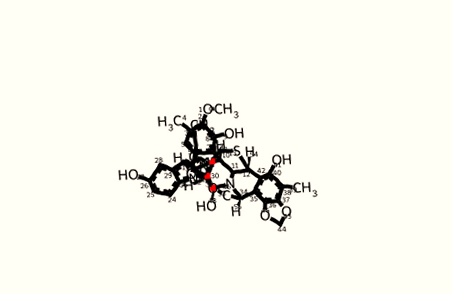 COc1c(C)cc2c(c1O)[C@@H]1C3[C@@H]4SC[C@]5(NC(C)Cc6c5[nH]c5ccc(O)cc65)C(=O)OC[C@@H](c5c6c(c(C)c(O)c54)OCO6)N3[C@@H](O)[C@H](C2)N1C